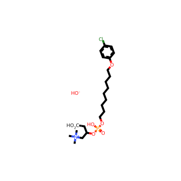 C[N+](C)(C)CC(CC(=O)O)OP(=O)(O)OCCCCCCCCCOc1ccc(Cl)cc1.[OH-]